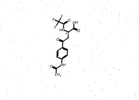 CC(=O)Nc1ccc(C(=O)C[C@@H](NC(=O)C(F)(F)F)C(=O)O)cc1